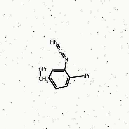 CC(C)c1ccccc1N=C=N.CCCC